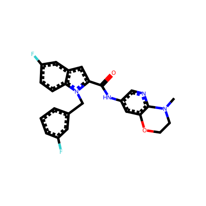 CN1CCOc2cc(NC(=O)c3cc4cc(F)ccc4n3Cc3cccc(F)c3)cnc21